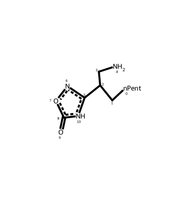 CCCCCCC(CN)c1noc(=O)[nH]1